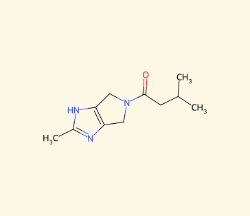 Cc1nc2c([nH]1)CN(C(=O)CC(C)C)C2